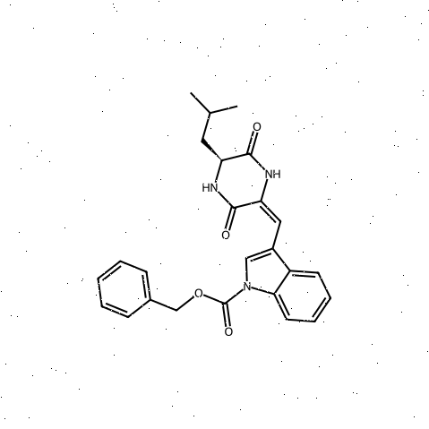 CC(C)C[C@@H]1NC(=O)/C(=C\c2cn(C(=O)OCc3ccccc3)c3ccccc23)NC1=O